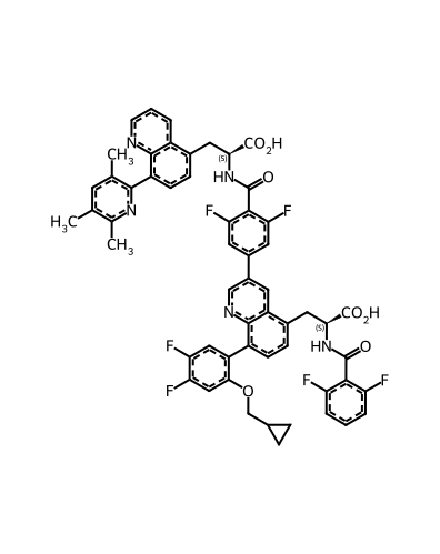 Cc1cc(C)c(-c2ccc(C[C@H](NC(=O)c3c(F)cc(-c4cnc5c(-c6cc(F)c(F)cc6OCC6CC6)ccc(C[C@H](NC(=O)c6c(F)cccc6F)C(=O)O)c5c4)cc3F)C(=O)O)c3cccnc23)nc1C